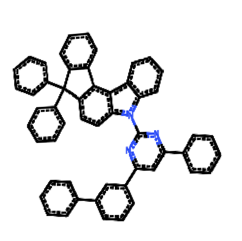 c1ccc(-c2cccc(-c3cc(-c4ccccc4)nc(-n4c5ccccc5c5c6c(ccc54)C(c4ccccc4)(c4ccccc4)c4ccccc4-6)n3)c2)cc1